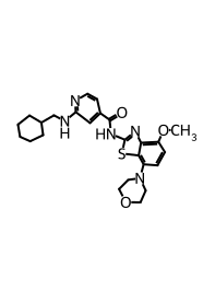 COc1ccc(N2CCOCC2)c2sc(NC(=O)c3ccnc(NCC4CCCCC4)c3)nc12